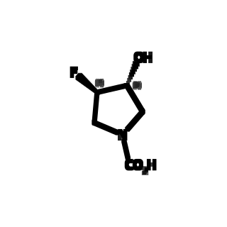 O=C(O)N1C[C@@H](O)[C@H](F)C1